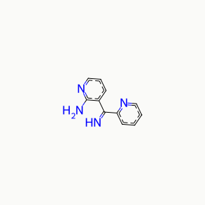 N=C(c1ccccn1)c1cccnc1N